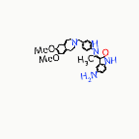 COC1=C(OC)CC2=CCN(Cc3ccc(N/C(C)=C4\C(=O)Nc5ccc(N)cc54)cc3)CCC2=C1